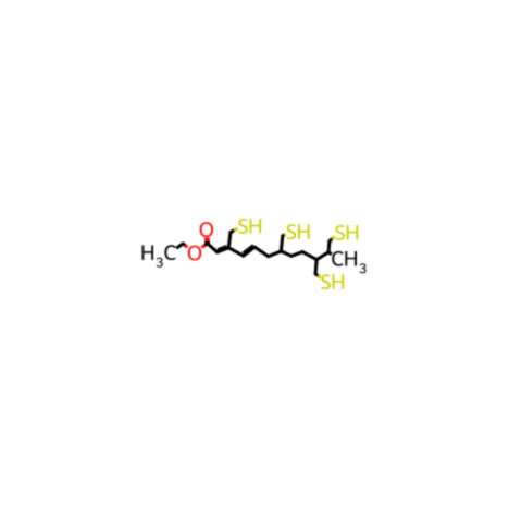 CCOC(=O)C=C(C=CCC(CS)CCC(CS)C(C)CS)CS